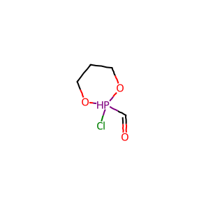 O=C[PH]1(Cl)OCCCO1